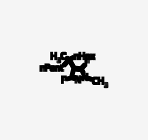 CCCCCCC(C)(CCCCC)c1c(F)nn(C)c1F